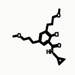 COCCCc1cc(CCCOC)c(Cl)c(C(=O)NC2CC2)c1